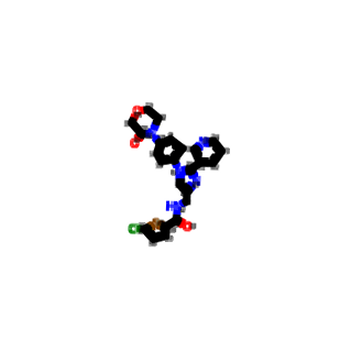 O=C(NCc1cn(-c2ccc(N3CCOCC3=O)cc2)c(-c2cccnc2)n1)c1ccc(Cl)s1